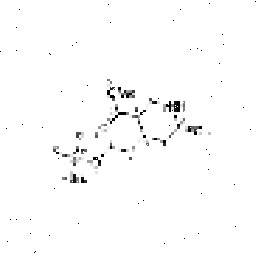 COC(=O)[C@H]1CNC(=O)C[C@@H]1CCO[Si](C)(C)C(C)(C)C